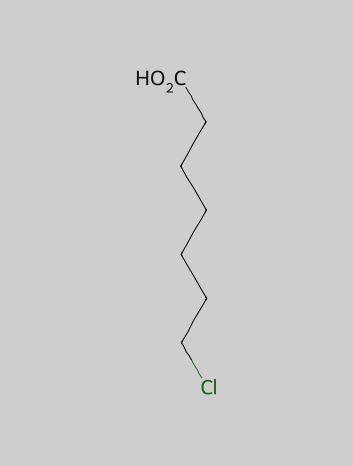 O=C(O)CCCCCCCl